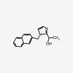 CC(O)c1nccn1Cc1ccc2ccccc2c1